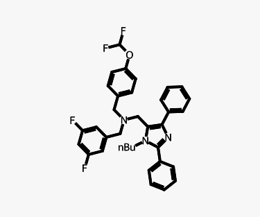 CCCCn1c(-c2ccccc2)nc(-c2ccccc2)c1CN(Cc1ccc(OC(F)F)cc1)Cc1cc(F)cc(F)c1